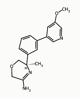 COc1cncc(-c2cccc([C@]3(C)COCC(N)=N3)c2)c1